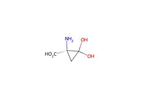 N[C@]1(C(=O)O)CC1(O)O